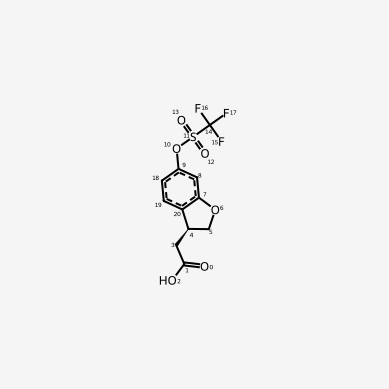 O=C(O)C[C@@H]1COc2cc(OS(=O)(=O)C(F)(F)F)ccc21